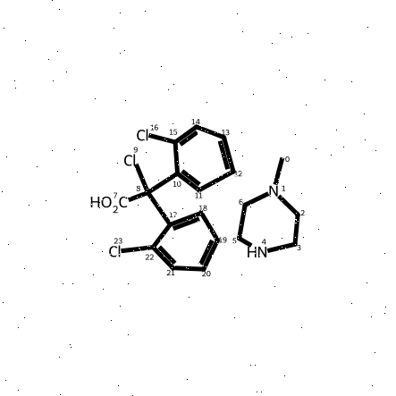 CN1CCNCC1.O=C(O)C(Cl)(c1ccccc1Cl)c1ccccc1Cl